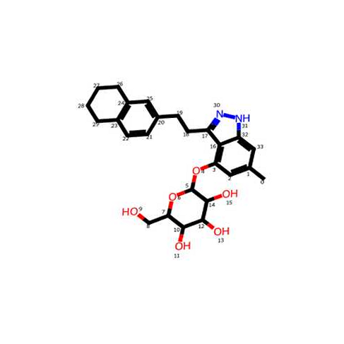 Cc1cc(OC2OC(CO)C(O)C(O)C2O)c2c(CCc3ccc4c(c3)CCCC4)n[nH]c2c1